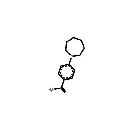 NC(=O)c1ccc(N2CCCCCC2)cc1